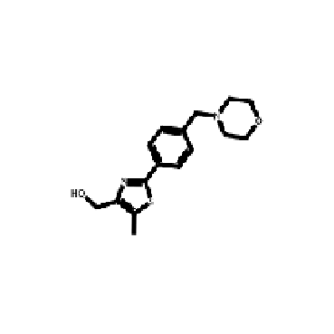 Cc1sc(-c2ccc(CN3CCOCC3)cc2)nc1CO